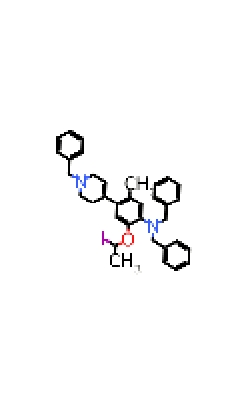 Cc1cc(N(Cc2ccccc2)Cc2ccccc2)c(OC(C)I)cc1C1=CCN(Cc2ccccc2)CC1